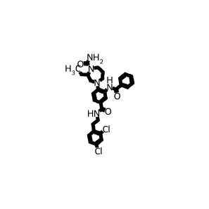 CCC1CN(c2ccc(C(=O)NCCc3ccc(Cl)cc3Cl)cc2NC(=O)c2ccccc2)CCCN1C(N)=O